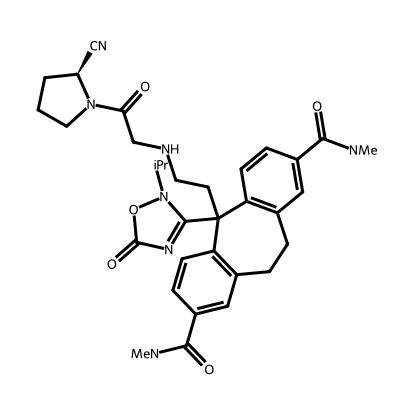 CNC(=O)c1ccc2c(c1)CCc1cc(C(=O)NC)ccc1C2(CCNCC(=O)N1CCC[C@H]1C#N)c1nc(=O)on1C(C)C